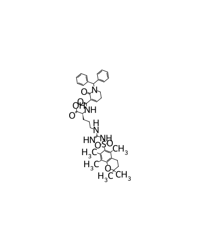 Cc1c(C)c(S(=O)(=O)NC(=N)NCCC[C@H](NC(=O)C2=CCCN(C(c3ccccc3)c3ccccc3)C2=O)C(=O)O)c(C)c2c1OC(C)(C)CC2